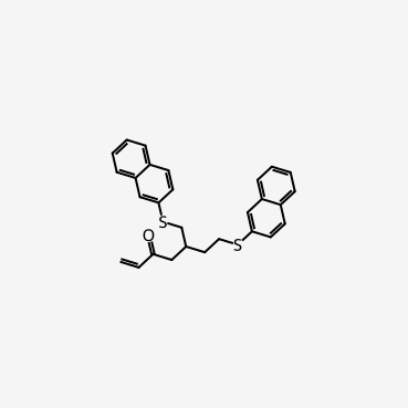 C=CC(=O)CC(CCSc1ccc2ccccc2c1)CSc1ccc2ccccc2c1